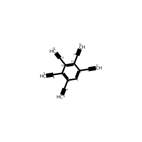 C#Cc1cc(C#C)c(C#C)c(C#C)c1C#C